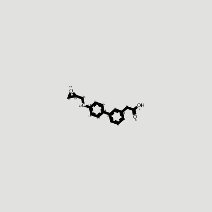 O=C(O)Cc1cccc(-c2ccc(OCC3CO3)cc2)c1